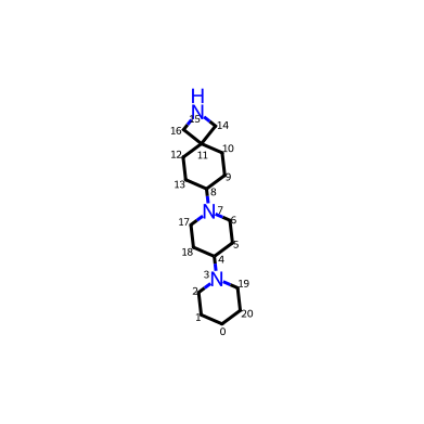 C1CCN(C2CCN(C3CCC4(CC3)CNC4)CC2)CC1